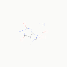 Cn1cnc2c1c(=O)[nH]c(=O)n2C.NCC(=O)O